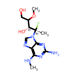 CNc1nc(N)nc2c1ncn2[C@](C)(F)[C@H](O)C(CO)OC